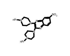 CCCN1CCN(c2nc3ccc([N+](=O)[O-])cc3nc2N2CCN(CCC)CC2)CC1